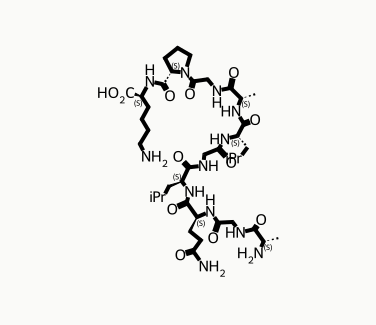 CC(C)C[C@H](NC(=O)CNC(=O)[C@H](CC(C)C)NC(=O)[C@H](CCC(N)=O)NC(=O)CNC(=O)[C@H](C)N)C(=O)N[C@@H](C)C(=O)NCC(=O)N1CCC[C@H]1C(=O)N[C@@H](CCCCN)C(=O)O